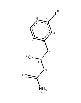 NC(=O)C[S+]([O-])Cc1cccc(I)c1